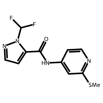 CSc1cc(NC(=O)c2ccnn2C(F)F)ccn1